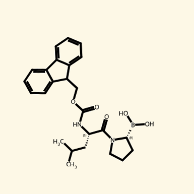 CC(C)C[C@H](NC(=O)OCC1c2ccccc2-c2ccccc21)C(=O)N1CCC[C@H]1B(O)O